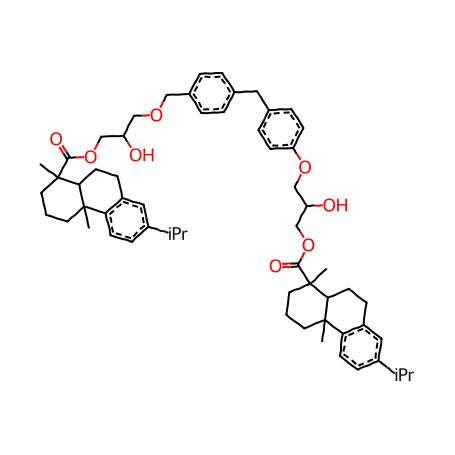 CC(C)c1ccc2c(c1)CCC1C(C)(C(=O)OCC(O)COCc3ccc(Cc4ccc(OCC(O)COC(=O)C5(C)CCCC6(C)c7ccc(C(C)C)cc7CCC56)cc4)cc3)CCCC21C